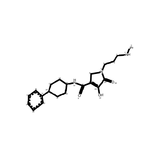 CC(C)NCCCN1CC(C(=O)NC2CCC(c3ccccc3)CC2)=C(O)C1=O